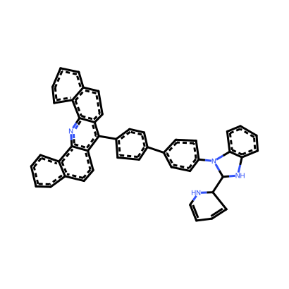 C1=CNC(C2Nc3ccccc3N2c2ccc(-c3ccc(-c4c5ccc6ccccc6c5nc5c4ccc4ccccc45)cc3)cc2)C=C1